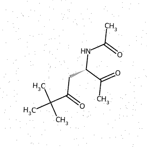 CC(=O)N[C@@H](CC(=O)C(C)(C)C)C(C)=O